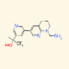 CC(O)(c1cncc(-c2cnc3c(c2)CCCN3CN)c1)C(F)(F)F